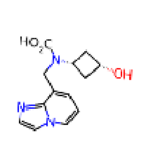 O=C(O)N(Cc1cccn2ccnc12)[C@H]1C[C@@H](O)C1